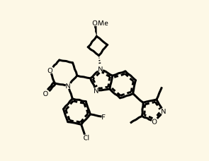 CO[C@H]1C[C@H](n2c(C3CCOC(=O)N3c3ccc(Cl)c(F)c3)nc3cc(-c4c(C)noc4C)ccc32)C1